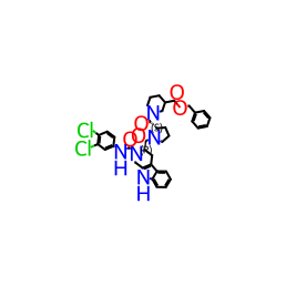 O=C(OCc1ccccc1)C1CCCN(C(=O)[C@@H]2CCCN2C(=O)[C@H]2Cc3c([nH]c4ccccc34)CN2C(=O)Nc2ccc(Cl)c(Cl)c2)C1